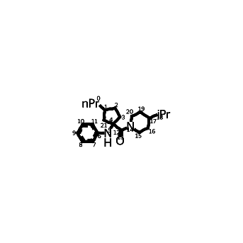 CCCC1CCC(Nc2ccccc2)(C(=O)N2CCC(C(C)C)CC2)C1